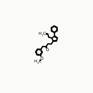 C=CCC1C(CCC(=O)Cc2cccc(OC)c2)=CC=C1c1ccccc1